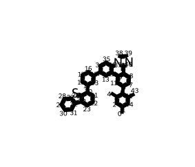 Cc1cc(C)c(-c2ccc3c(c2)c2cc(-c4cccc(-c5cccc6c5sc5ccccc56)c4)ccc2n2ccnc32)c(C)c1